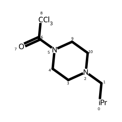 CC(C)CN1CCN(C(=O)C(Cl)(Cl)Cl)CC1